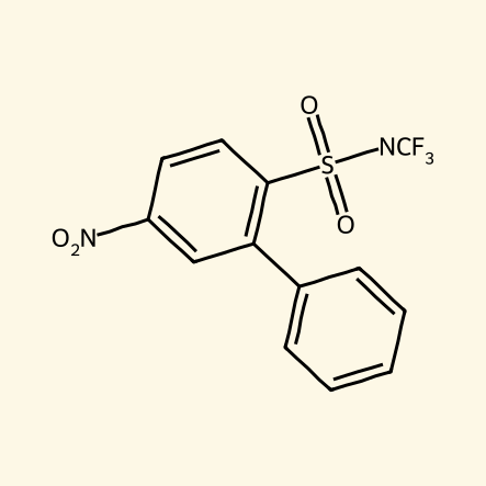 O=[N+]([O-])c1ccc(S(=O)(=O)NC(F)(F)F)c(-c2ccccc2)c1